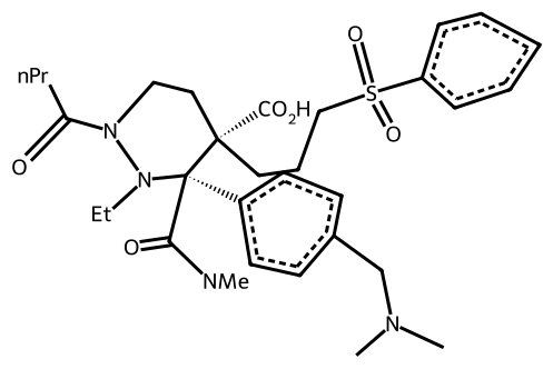 CCCC(=O)N1CC[C@](CCCS(=O)(=O)c2ccccc2)(C(=O)O)[C@](C(=O)NC)(c2ccc(CN(C)C)cc2)N1CC